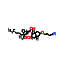 CCCCC(C)(C)C/C=C(/O)[C@@H]1[C@@H]2C[C@@H](OCCCC#N)C[C@@H]2C[C@H]1O